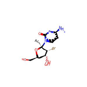 CC(=O)[C@@]1(n2ccc(N)nc2=O)O[C@H](CO)[C@@H](O)[C@H]1Br